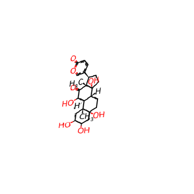 C[C@]12CC(O)[C@H](O)C[C@@]1(O)CC[C@@H]1[C@@H]2C(O)C(=O)[C@]2(C)[C@@H](c3ccc(=O)oc3)CC[C@]12O